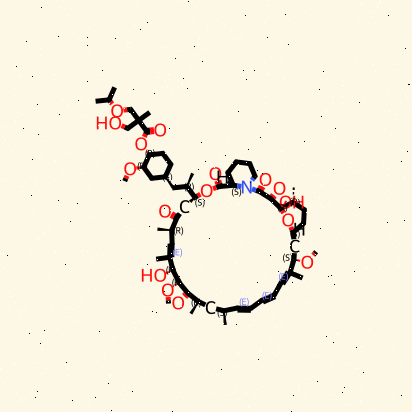 CO[C@H]1C[C@@H]2CC[C@@H](C)[C@@](O)(O2)C(=O)C(=O)N2CCCC[C@H]2C(=O)O[C@H]([C@H](C)C[C@@H]2CC[C@@H](OC(=O)C(C)(CO)COC(C)C)[C@H](OC)C2)CC(=O)[C@H](C)/C=C(\C)[C@@H](O)[C@@H](OC)C(=O)[C@H](C)C[C@H](C)/C=C/C=C/C=C/1C